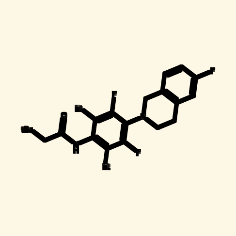 CCc1c(F)c(N2CCc3cc(F)ccc3C2)c(F)c(CC)c1NC(=O)CC(C)(C)C